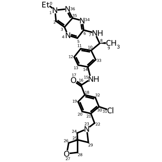 CCn1cc2ncc(N[C@@H](C)c3cccc(NC(=O)c4ccc(CN5CC6(COC6)C5)c(Cl)c4)c3)nc2n1